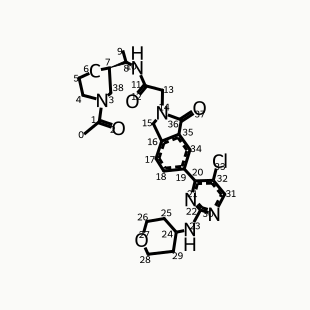 CC(=O)N1CCC[C@@H](C(C)NC(=O)CN2Cc3ccc(-c4nc(NC5CCOCC5)ncc4Cl)cc3C2=O)C1